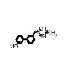 C=C/N=C\N(C)Cc1cccc(-c2cccc(O)c2)c1